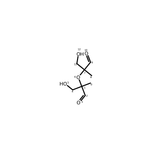 CC(C=O)(CO)OC(C)(C=O)CO